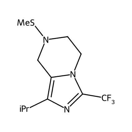 CSN1CCn2c(C(F)(F)F)nc(C(C)C)c2C1